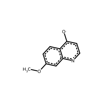 COc1ccc2c([O])ccnc2c1